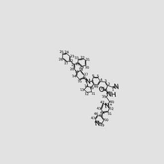 N#CC(=Cc1ccc2c(c1)C1CCCC1N2c1ccc(C=C(c2ccccc2)c2ccccc2)cc1)C(=O)NCC[n+]1ccc(-c2ccncc2)cc1